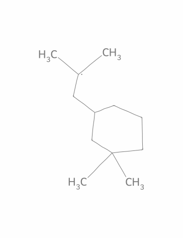 C[C](C)CC1CCCC(C)(C)C1